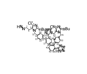 CCCCc1nc(Cl)c(CCN=N)n1Cc1ccc(-c2ccccc2-c2nnnn2Cc2c(Cl)nc(CCCC)n2Cc2ccc(-c3ccccc3-c3nnn[nH]3)cc2)cc1